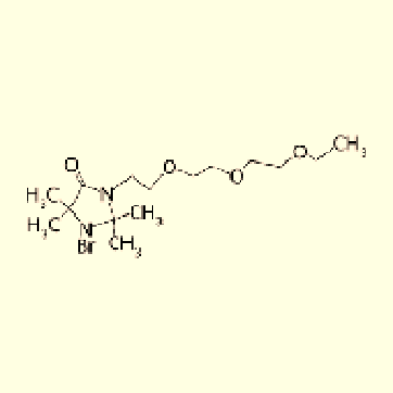 CCOCCOCCOCCN1C(=O)C(C)(C)N(Br)C1(C)C